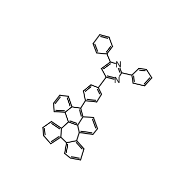 c1ccc(-c2cc(-c3ccc(-c4c5ccccc5c5c6c(cccc46)-c4ccccc4-c4ccccc4-5)cc3)nc(-c3ccccc3)n2)cc1